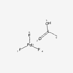 CC(=O)O.[F][Pd]([F])[F]